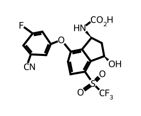 N#Cc1cc(F)cc(Oc2ccc(S(=O)(=O)C(F)(F)F)c3c2[C@@H](NC(=O)O)C[C@H]3O)c1